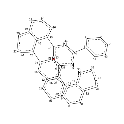 c1ccc(-c2nc(-c3ccccc3)nc(-c3cccc4cccc(-c5ccc(-c6cccc7cccnc67)cc5)c34)n2)cc1